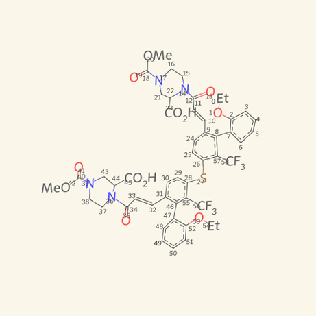 CCOc1ccccc1-c1c(/C=C/C(=O)N2CCN(C(=O)OC)CC2C(=O)O)ccc(Sc2ccc(/C=C/C(=O)N3CCN(C(=O)OC)CC3C(=O)O)c(-c3ccccc3OCC)c2C(F)(F)F)c1C(F)(F)F